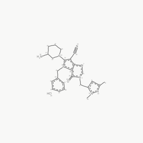 Cc1cc(Cn2cnc3c(C#N)c(N4CCCC(N)C4)n(Cc4ccccc4)c3c2=O)n(C)n1.Cl